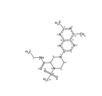 CCNC(=O)C1CN(c2cnc3c(C)nc(C)nc3n2)CCN1S(C)(=O)=O